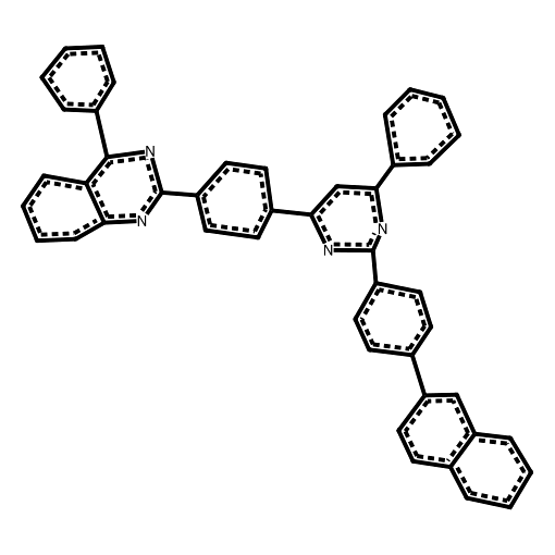 c1ccc(-c2cc(-c3ccc(-c4nc(-c5ccccc5)c5ccccc5n4)cc3)nc(-c3ccc(-c4ccc5ccccc5c4)cc3)n2)cc1